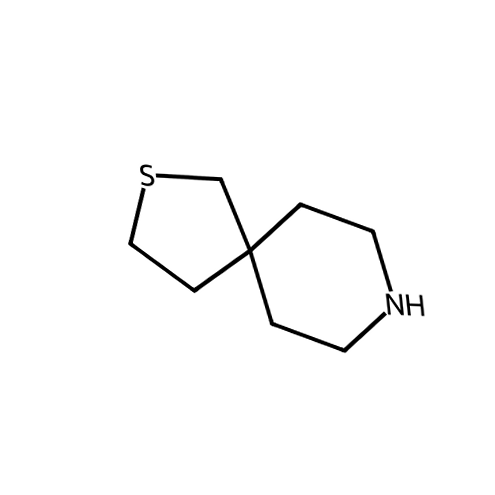 C1CC2(CCN1)CCSC2